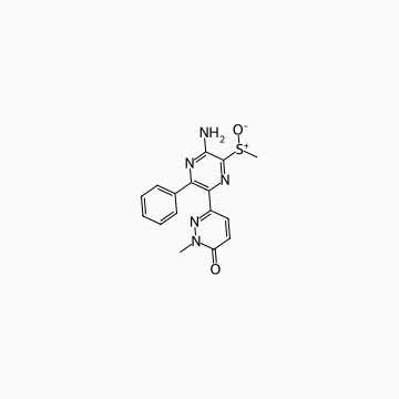 Cn1nc(-c2nc([S+](C)[O-])c(N)nc2-c2ccccc2)ccc1=O